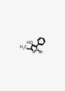 CCc1nn(Br)c(-c2ccccc2)c1O